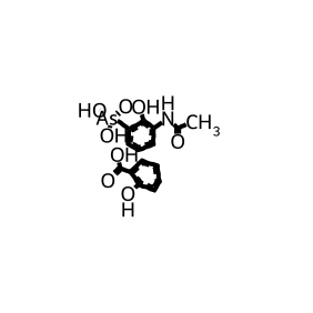 CC(=O)Nc1cccc([As](=O)(O)O)c1O.O=C(O)c1ccccc1O